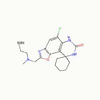 CNCCN(C)Cc1nc2cc(Cl)c3c(c2o1)C1(CCCCC1)NC(=O)N3